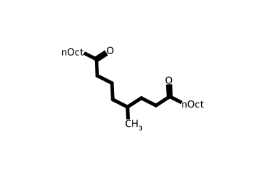 CCCCCCCCC(=O)CCCC(C)CCC(=O)CCCCCCCC